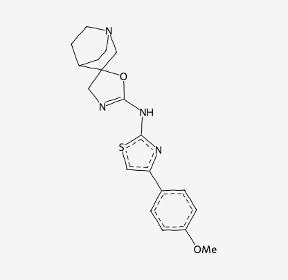 COc1ccc(-c2csc(NC3=NCC4(CN5CCC4CC5)O3)n2)cc1